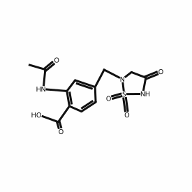 CC(=O)Nc1cc(CN2CC(=O)NS2(=O)=O)ccc1C(=O)O